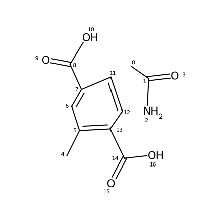 CC(N)=O.Cc1cc(C(=O)O)ccc1C(=O)O